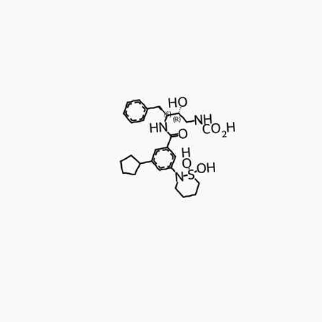 O=C(O)NC[C@@H](O)[C@H](Cc1ccccc1)NC(=O)c1cc(C2CCCC2)cc(N2CCCCS2(O)O)c1